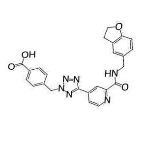 O=C(O)c1ccc(Cn2nnc(-c3ccnc(C(=O)NCc4ccc5c(c4)CCO5)c3)n2)cc1